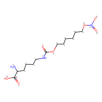 NC(CCCCNC(=O)OCCCCCCO[N+](=O)[O-])C(=O)O